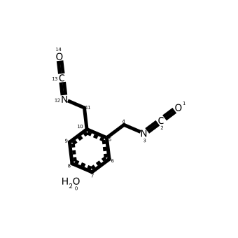 O.O=C=NCc1ccccc1CN=C=O